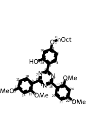 CCCCCCCCOc1ccc(-c2nc(-c3ccc(OC)cc3OC)nc(-c3ccc(OC)cc3OC)n2)c(O)c1